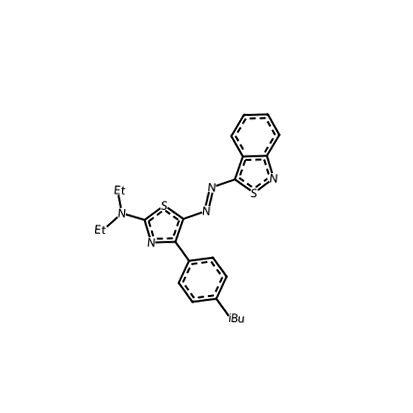 CCC(C)c1ccc(-c2nc(N(CC)CC)sc2/N=N/c2snc3ccccc23)cc1